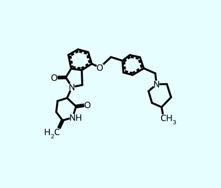 C=C1CCC(N2Cc3c(OCc4ccc(CN5CCC(C)CC5)cc4)cccc3C2=O)C(=O)N1